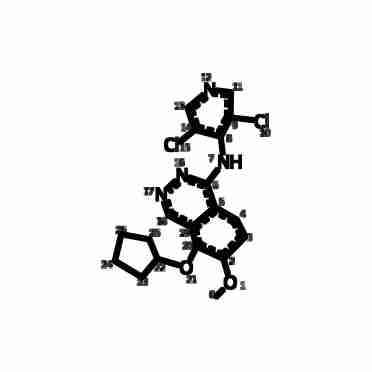 COc1ccc2c(Nc3c(Cl)cncc3Cl)nncc2c1OC1CCCC1